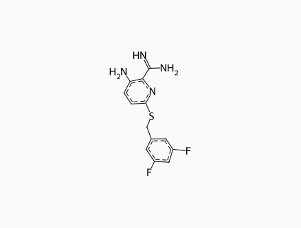 N=C(N)c1nc(SCc2cc(F)cc(F)c2)ccc1N